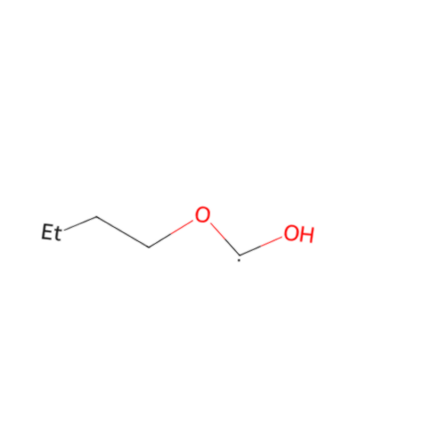 CCCCO[CH]O